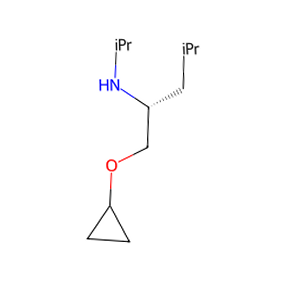 CC(C)C[C@H](COC1CC1)NC(C)C